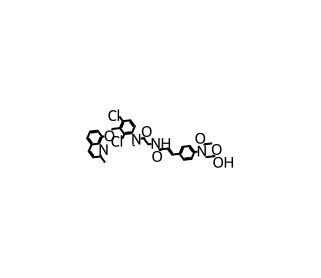 CC(=O)N(CC(=O)O)c1ccc(/C=C/C(=O)NCC(=O)N(C)c2ccc(Cl)c(COc3cccc4ccc(C)nc34)c2Cl)cc1